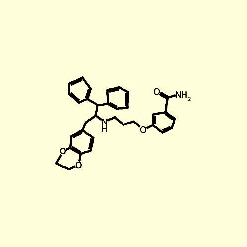 NC(=O)c1cccc(OCCCNC(Cc2ccc3c(c2)OCCO3)C(c2ccccc2)c2ccccc2)c1